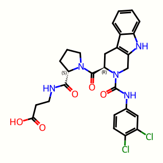 O=C(O)CCNC(=O)[C@@H]1CCCN1C(=O)[C@H]1Cc2c([nH]c3ccccc23)CN1C(=O)Nc1ccc(Cl)c(Cl)c1